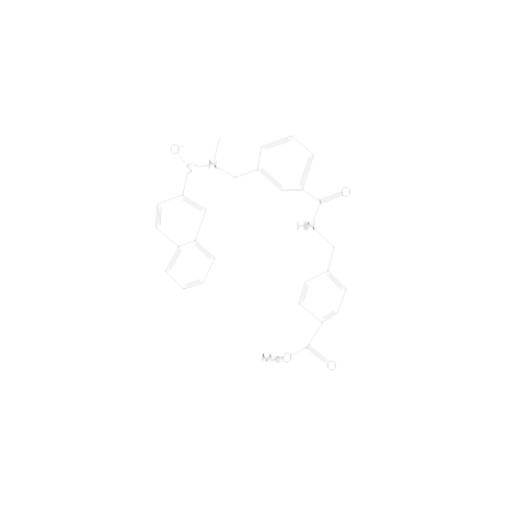 COC(=O)c1ccc(CNC(=O)c2cccc(CN(C)[S+]([O-])c3ccc4ccccc4c3)c2)cc1